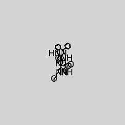 COCCN/C=C(\C(=N)N1CCOCC1)c1nnc(N[C@H]2N=C(c3ccccc3)c3ccccc3NC2=O)o1